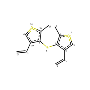 C=Cc1csc(C)c1Sc1c(C=C)csc1C